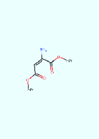 CCCOC(=O)/C=C(/N)C(=O)OCCC